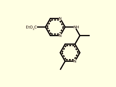 CCOC(=O)c1cnc(NC(C)c2ccc(C)nc2)nc1